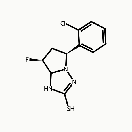 F[C@H]1C[C@@H](c2ccccc2Cl)N2N=C(S)NC12